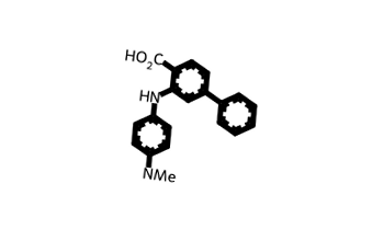 CNc1ccc(Nc2cc(-c3ccccc3)ccc2C(=O)O)cc1